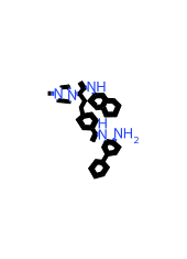 C=C(Nc1cc(-c2ccccc2)ccc1N)c1ccc(CCC(C(=C)Nc2ccc3ccccc3c2)N2CCN(C)CC2)cc1